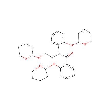 O=C(c1ccccc1OC1CCCCO1)C(CCOC1CCCCO1)c1ccccc1OC1CCCCO1